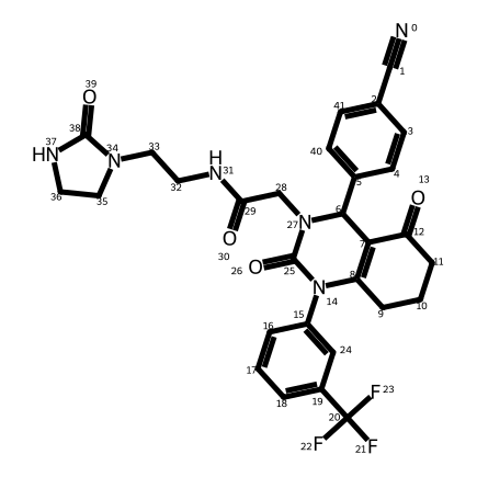 N#Cc1ccc(C2C3=C(CCCC3=O)N(c3cccc(C(F)(F)F)c3)C(=O)N2CC(=O)NCCN2CCNC2=O)cc1